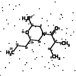 BC1CN(C(=O)C(C)CC)CC(CCC)O1